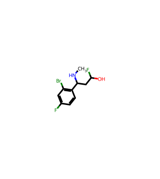 CNC(CC(O)F)c1ccc(F)cc1Br